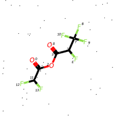 O=C(OC(=O)C(F)C(F)(F)F)C(F)F